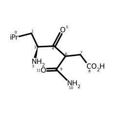 CC(C)C[C@H](N)C(=O)C(CC(=O)O)C(N)=O